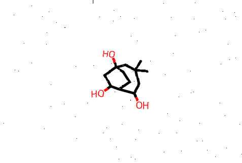 CC1(C)CC(O)C2CCC(O)(CC2O)C1